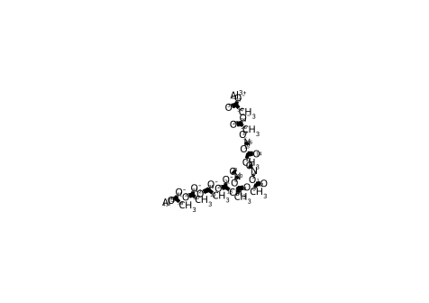 CC(=O)ON=O.CC(=O)ON=O.CC(=O)ON=O.CC(=O)[O-].CC(=O)[O-].CC(=O)[O-].CC(=O)[O-].CC(=O)[O-].CC(=O)[O-].[Al+3].[Al+3]